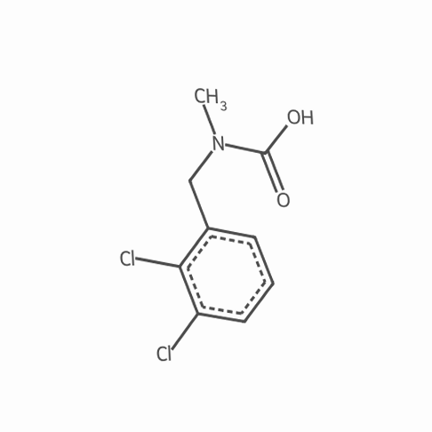 CN(Cc1cccc(Cl)c1Cl)C(=O)O